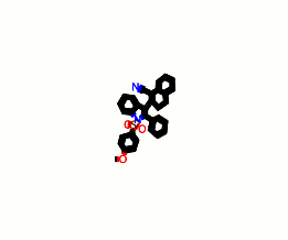 COc1ccc(S(=O)(=O)n2c(-c3ccccc3)c(C3=C(C#N)c4ccccc4CC3)c3ccccc32)cc1